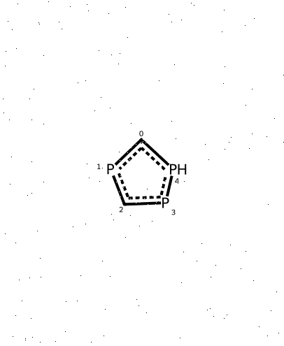 [c]1pcp[pH]1